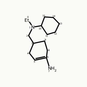 CCN(CC1CC=C(N)CC1)C1CCCCC1